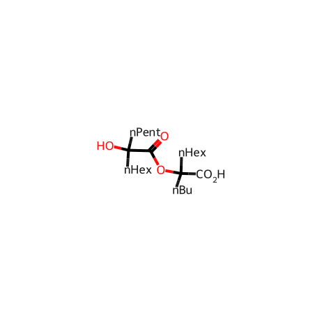 CCCCCCC(O)(CCCCC)C(=O)OC(CCCC)(CCCCCC)C(=O)O